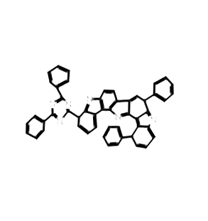 C1=CC(c2ccccc2)C2=C3C4=Nc5c(ccc6c5C5=CC=CC(c7nc(-c8ccccc8)nc(-c8ccccc8)n7)C5=N6)C4=CC(c4ccccc4)C3=NC2=C1